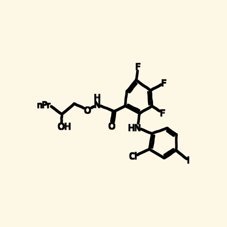 CCCC(O)CONC(=O)c1cc(F)c(F)c(F)c1Nc1ccc(I)cc1Cl